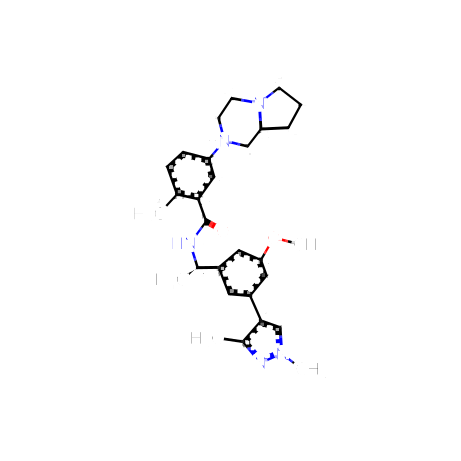 COc1cc(-c2cn(C)nc2C)cc([C@@H](C)NC(=O)c2cc(N3CCN4CCCC4C3)ccc2C)c1